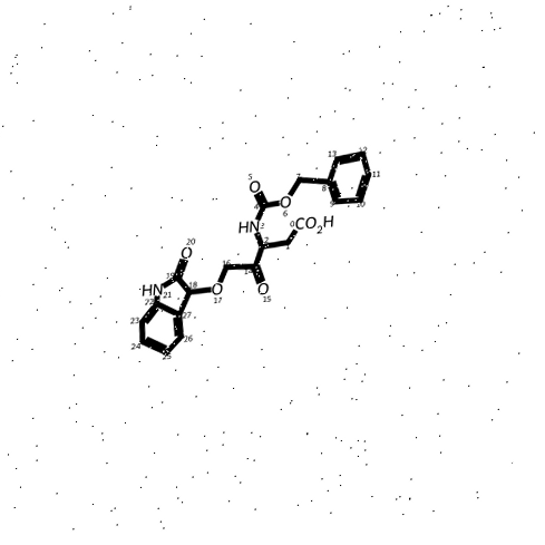 O=C(O)CC(NC(=O)OCc1ccccc1)C(=O)COC1C(=O)Nc2ccccc21